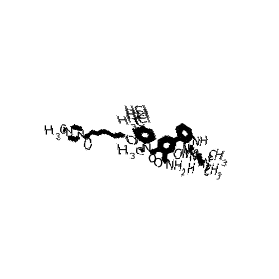 COc1c(-c2cccc3[nH]c(NCCN(C)C)nc23)ccc(C(=O)N(C)c2ccc(C)cc2OCCCCCC(=O)N2CCN(C)CC2)c1C(N)=O.Cl.Cl.Cl